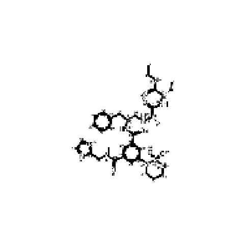 CCNC(=O)[C@H](CC)NC(=O)[C@H](C)NC[C@H](Cc1ccccc1)NC(=O)c1cc(C(=O)NCc2nccs2)cc(N2CCCNS2(=O)=O)c1